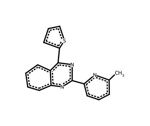 Cc1cccc(-c2nc(-c3cccs3)c3ccccc3n2)n1